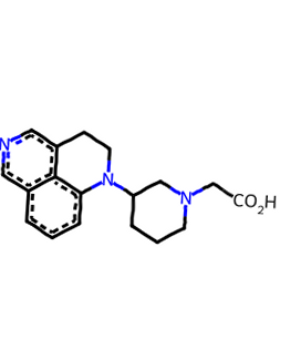 O=C(O)CN1CCCC(N2CCc3cncc4cccc2c34)C1